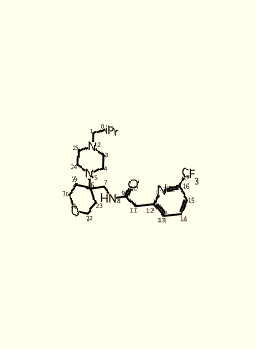 CC(C)CN1CCN(C2(CNC(=O)Cc3cccc(C(F)(F)F)n3)CCOCC2)CC1